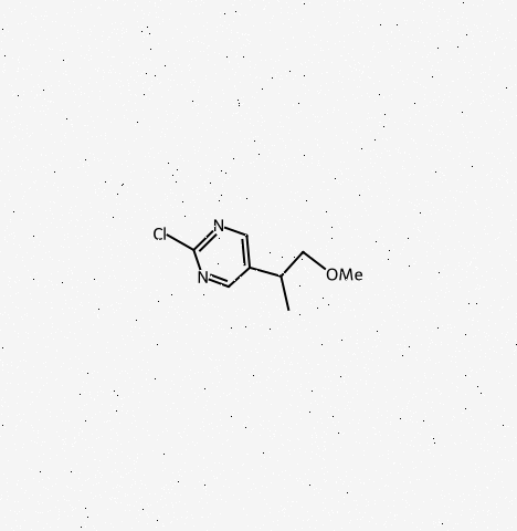 COCC(C)c1cnc(Cl)nc1